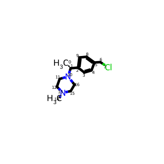 C[C@H](c1ccc(CCl)cc1)N1CCN(C)CC1